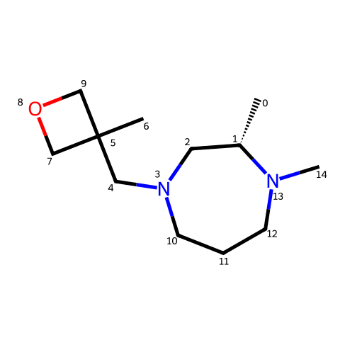 C[C@H]1CN(CC2(C)COC2)CCCN1C